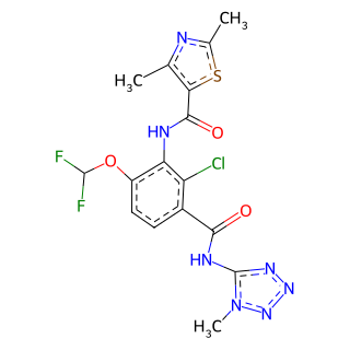 Cc1nc(C)c(C(=O)Nc2c(OC(F)F)ccc(C(=O)Nc3nnnn3C)c2Cl)s1